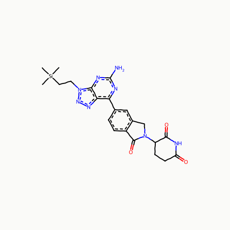 C[Si](C)(C)CCn1nnc2c(-c3ccc4c(c3)CN(C3CCC(=O)NC3=O)C4=O)nc(N)nc21